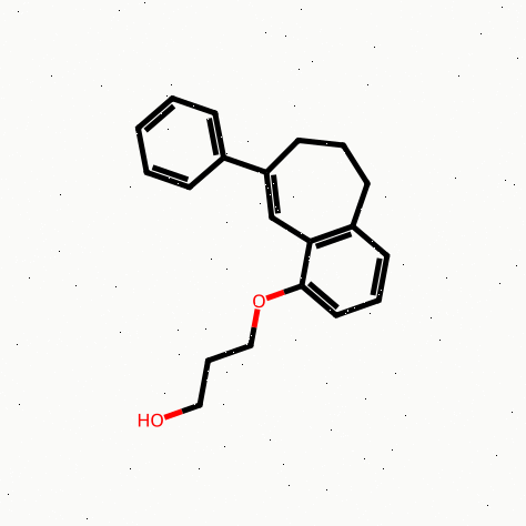 OCCCOc1cccc2c1C=C(c1ccccc1)CCC2